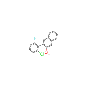 COc1cc2ccccc2cc1-c1c(F)cccc1Cl